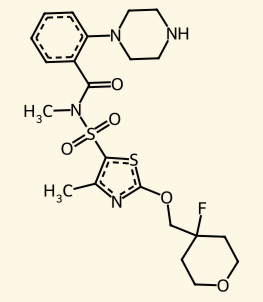 Cc1nc(OCC2(F)CCOCC2)sc1S(=O)(=O)N(C)C(=O)c1ccccc1N1CCNCC1